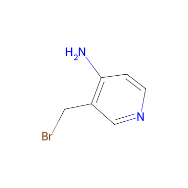 Nc1ccncc1CBr